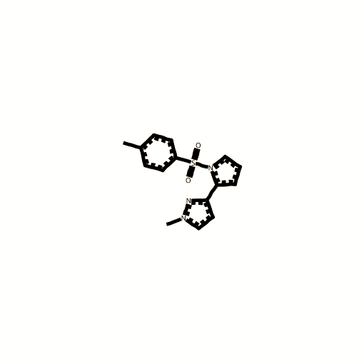 Cc1ccc(S(=O)(=O)n2cccc2-c2ccn(C)n2)cc1